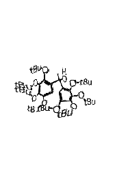 CC(C)(C)Oc1cc(C(C)(O)c2cc(OC(C)(C)C)c(OC(C)(C)C)c(OC(C)(C)C)c2OC(C)(C)C)c(OC(C)(C)C)c(OC(C)(C)C)c1OC(C)(C)C